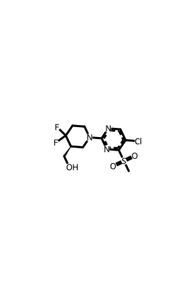 CS(=O)(=O)c1nc(N2CCC(F)(F)[C@H](CO)C2)ncc1Cl